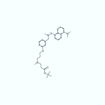 CN(CCCOc1cccc(CN(C)Sc2cccc3c(N(C)C)cccc23)c1)CCC(=O)OC(C)(C)C